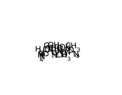 Cc1cc2c(nc1OCCN1CCCC1)OC1(CC1)CN(Cc1cc(C(c3ccc4c(nnn4C4CC4)c3C)C(C)(C)C(=O)O)cnc1C)S2(O)O